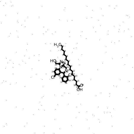 CCCCCCCCCCCCCCCCCC(=O)O.OCc1nnc2n1-c1ccc(Cl)cc1C(c1ccccc1Cl)=NC2